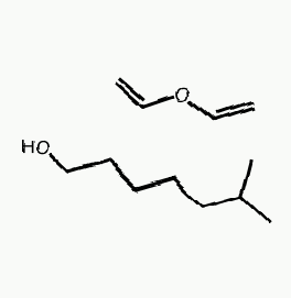 C=COC=C.CC(C)CCCCCO